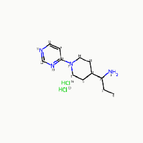 CCC(N)C1CCN(c2ccncn2)CC1.Cl.Cl